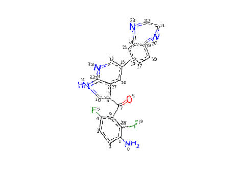 Nc1ccc(F)c(C(=O)c2c[nH]c3ncc(-c4ccc5nccnc5c4)cc23)c1F